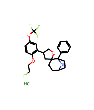 Cl.FCCOc1ccc(OC(F)(F)F)cc1C1COC2(CCC3CCC2(c2ccccc2)N3)C1